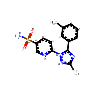 Cc1cccc(-c2nc(C(F)(F)F)nn2-c2ccc(S(N)(=O)=O)cn2)c1